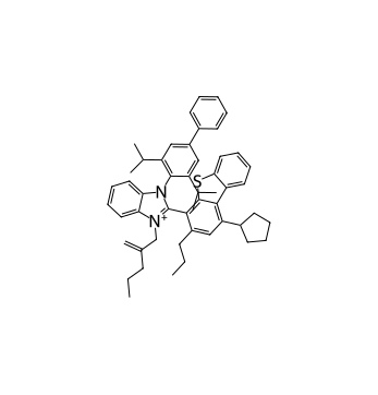 C=C(CCC)C[n+]1c(-c2c(CCC)cc(C3CCCC3)c3c2sc2ccccc23)n(-c2c(C(C)C)cc(-c3ccccc3)cc2C(C)C)c2ccccc21